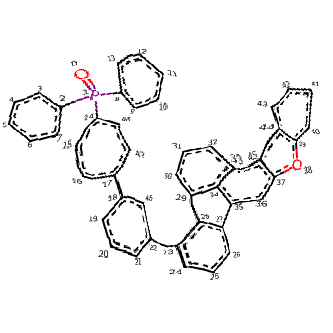 O=P(c1ccccc1)(c1ccccc1)c1ccc(-c2cccc(-c3cccc4c3-c3cccc5c3c-4cc3oc4ccccc4c35)c2)cc1